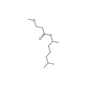 COCCC(=O)OC(C)CCCC(C)C